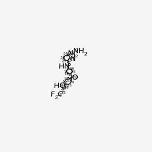 Nc1cnc2c(SNc3ccc(C(=O)N4CCC(O)(CCCC(F)(F)F)CC4)cc3)cccc2n1